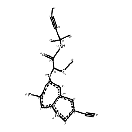 C#Cc1cnc2cc(F)c(OC(SC)C(=O)NC(C)(C)C#CC)cc2c1